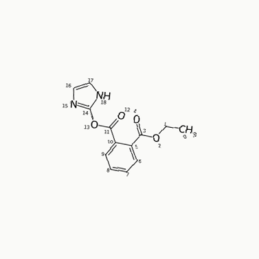 CCOC(=O)c1ccccc1C(=O)Oc1ncc[nH]1